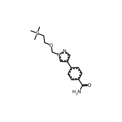 C[Si](C)(C)CCOCn1cc(-c2ccc(C(N)=O)cc2)cn1